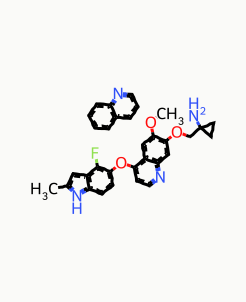 COc1cc2c(Oc3ccc4[nH]c(C)cc4c3F)ccnc2cc1OCC1(N)CC1.c1ccc2ncccc2c1